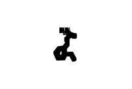 CCc1ccccc1COC(N)=O